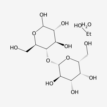 CCO.O.OC[C@H]1O[C@@H](O[C@H]2[C@H](O)[C@@H](O)C(O)O[C@@H]2CO)[C@H](O)[C@@H](O)[C@H]1O